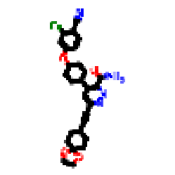 N#Cc1ccc(OC2CCC(c3cc(C#CC4CCC5(CC4)OCCO5)nnc3C(N)=O)CC2)cc1Cl